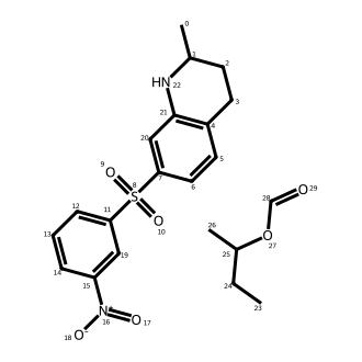 CC1CCc2ccc(S(=O)(=O)c3cccc([N+](=O)[O-])c3)cc2N1.CCC(C)OC=O